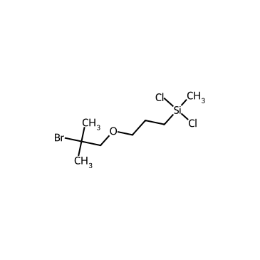 CC(C)(Br)COCCC[Si](C)(Cl)Cl